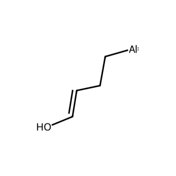 OC=CC[CH2][Al]